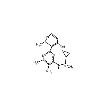 Cc1nc(C2=C(O)N=CNC2C)nc(N[C@@H](C)C2CC2)c1N